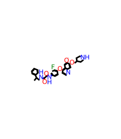 C=C(/C=C\C(Oc1ccnc2cc(OCC3CCNCC3)c(OC)cc12)=C(/C)F)NC(=O)C(=O)NCC(C)c1ccccc1